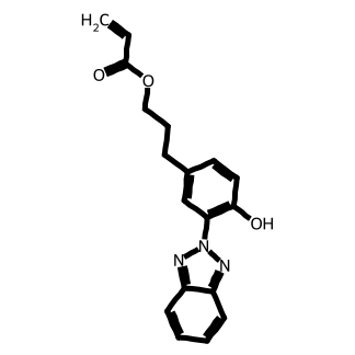 C=CC(=O)OCCCc1ccc(O)c(-n2nc3ccccc3n2)c1